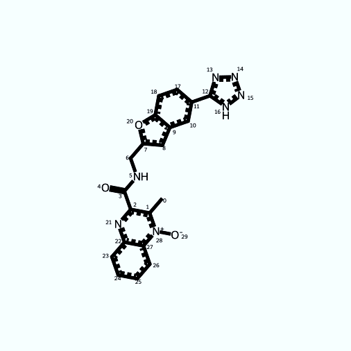 Cc1c(C(=O)NCc2cc3cc(-c4nnn[nH]4)ccc3o2)nc2ccccc2[n+]1[O-]